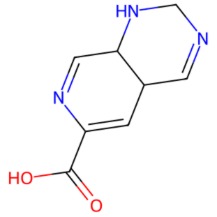 O=C(O)C1=CC2C=NCNC2C=N1